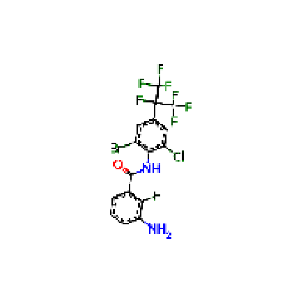 Nc1cccc(C(=O)Nc2c(Cl)cc(C(F)(C(F)(F)F)C(F)(F)F)cc2Br)c1F